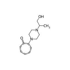 CC(CO)N1CCN(c2cccccc2=O)CC1